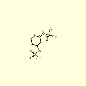 CCS(=O)(=O)OC1CCCC(OS(=O)(=O)CC)C1